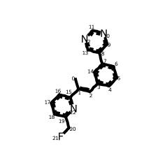 C/C(=C\c1cccc(-c2cncnc2)c1)c1cccc(CF)n1